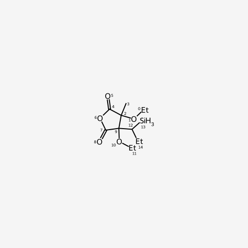 CCOC1(C)C(=O)OC(=O)C1(OCC)C([SiH3])CC